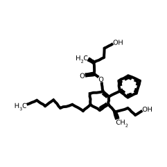 C=C(CCO)C(=O)OC1=C(c2ccccc2)C(C(=C)CCO)=CC(CCCCCCC)C1